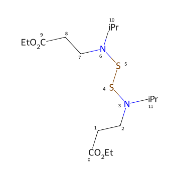 CCOC(=O)CCN(SSN(CCC(=O)OCC)C(C)C)C(C)C